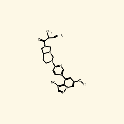 C=CC(C)C(=O)N1CC2CCN(c3ccc(-c4cc(OCC)cn5ncc(C#N)c45)cn3)CN2C1